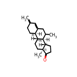 C=C1C=C2CC(C)[C@@H]3[C@H](CC[C@]4(C)C(=O)CC[C@@H]34)[C@H]2CC1